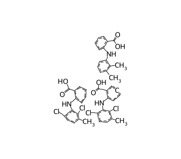 Cc1ccc(Cl)c(Nc2ccccc2C(=O)O)c1Cl.Cc1ccc(Cl)c(Nc2ccccc2C(=O)O)c1Cl.Cc1cccc(Nc2ccccc2C(=O)O)c1C